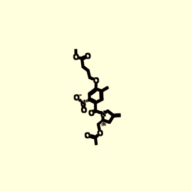 C=C1C[C@@H](COC(C)=O)N(C(=O)c2cc(C)c(OCCCC(=O)OC)cc2[N+](=O)[O-])C1